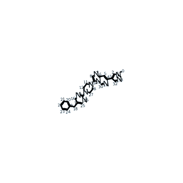 Cn1cc(-c2cc3ncc(N4CCN(c5ncc(Cc6ccccc6)cn5)CC4)n3cn2)cn1